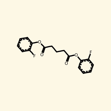 O=C(CCCC(=O)Oc1ccccc1F)Oc1ccccc1F